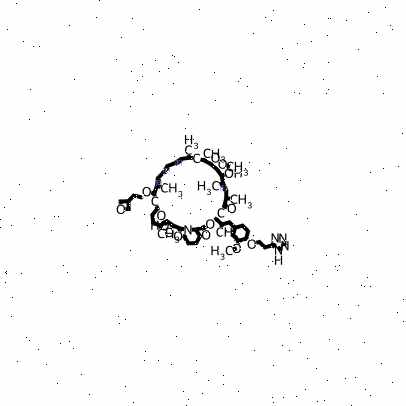 COC1CC(CC(C)C2CC(=O)C(C)/C=C(\C)C(O)C(OC)C(=O)C(C)CC(C)/C=C/C=C/C=C(\C)C(OCCC3COC3)CC3CCC(C)C(O)(O3)C(=O)C(=O)N3CCCCC3C(=O)O2)CCC1OCCc1nnn[nH]1